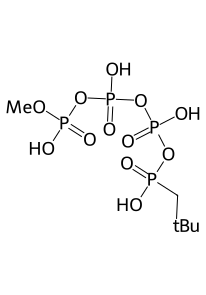 COP(=O)(O)OP(=O)(O)OP(=O)(O)OP(=O)(O)CC(C)(C)C